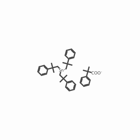 CC(C)(C(=O)[O-])c1ccccc1.CC(C)([CH2][Sn+]([CH2]C(C)(C)c1ccccc1)[CH2]C(C)(C)c1ccccc1)c1ccccc1